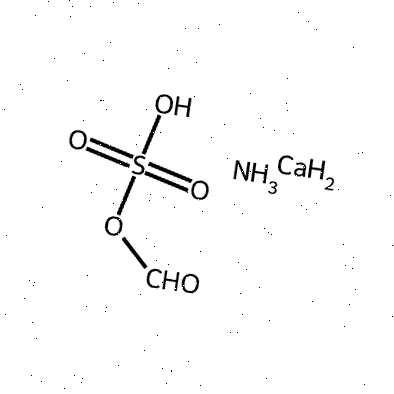 N.O=COS(=O)(=O)O.[CaH2]